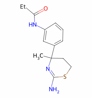 CCC(=O)Nc1cccc(C2(C)CCSC(N)=N2)c1